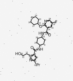 CC(C)c1cc(C(=O)NC2CCC(NC(=O)c3cc(F)cnc3OC3CCSCC3)CC2)n(CCO)n1